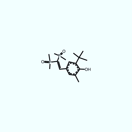 Cc1cc(C=C(P(C)(C)=O)P(C)(C)=O)cc(C(C)(C)C)c1O